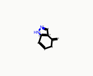 C=C1CC=Cc2[nH]ncc21